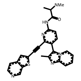 CNC(C)C(=O)Nc1ccc(-c2c(C)nc3ccccn23)c(C#Cc2cc3ccncc3s2)n1